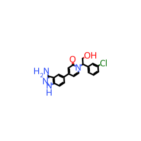 Nc1n[nH]c2ccc(-c3ccn(C(CO)c4cccc(Cl)c4)c(=O)c3)cc12